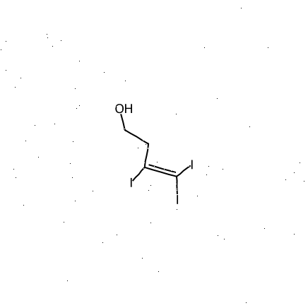 OCCC(I)=C(I)I